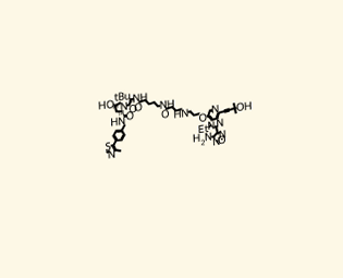 CCn1c(-c2nonc2N)nc2c(C#CC(C)(C)O)ncc(OCCCNCCCC(=O)NCCCCC(=O)N[C@H](C(=O)N3C[C@H](O)C[C@H]3C(=O)NCc3ccc(-c4scnc4C)cc3)C(C)(C)C)c21